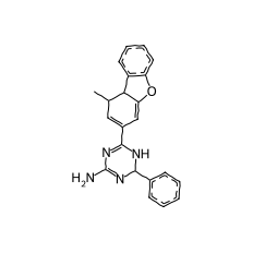 CC1C=C(C2=NC(N)=NC(c3ccccc3)N2)C=C2Oc3ccccc3C21